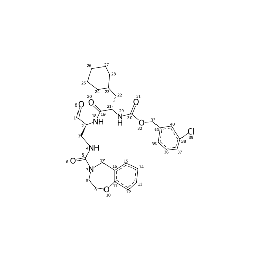 O=C[C@H](CNC(=O)N1CCOc2ccccc2C1)NC(=O)[C@H](CC1CCCCC1)NC(=O)OCc1cccc(Cl)c1